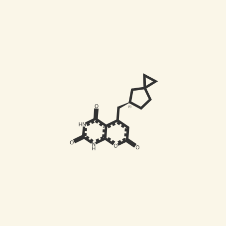 O=c1[nH]c(=O)c2c(C[C@@H]3CCC4(CC4)C3)cc(=O)oc2[nH]1